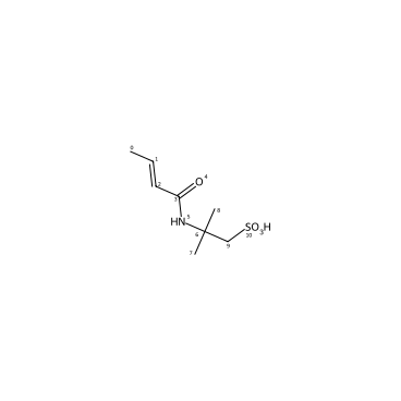 C/C=C/C(=O)NC(C)(C)CS(=O)(=O)O